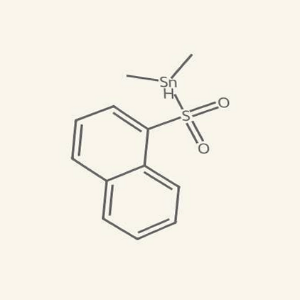 [CH3][SnH]([CH3])[S](=O)(=O)c1cccc2ccccc12